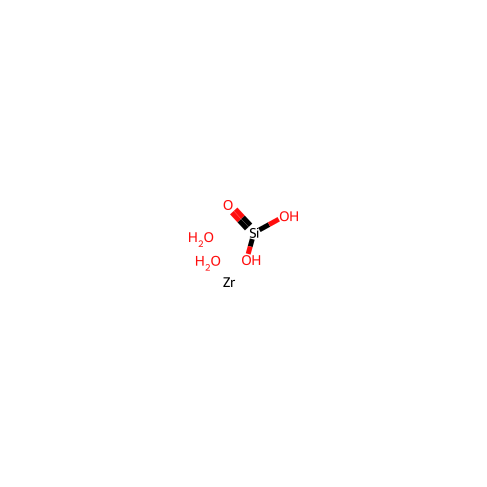 O.O.O=[Si](O)O.[Zr]